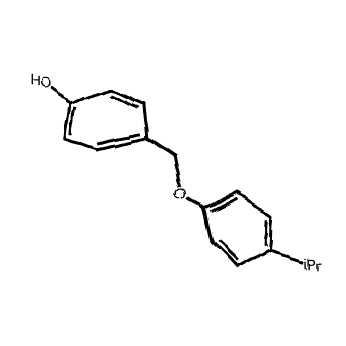 CC(C)c1ccc(OCc2ccc(O)cc2)cc1